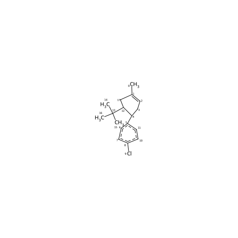 CC1=CCC(c2ccc(Cl)cc2)C(C(C)(C)C)C1